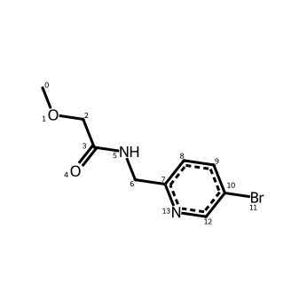 COCC(=O)NCc1ccc(Br)cn1